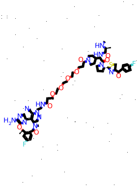 CN[C@@H](C)C(=O)N[C@H](C(=O)N1CCC[C@H]1C1=NC(C(=O)c2ccc(F)cc2)CS1)C1CCN(C(=O)CCOCCOCCOCCOCCC(=O)NCCN2N=CC3C(=C2C#N)c2cnc(N)c(n2)O[C@H](C)c2cc(F)ccc2C(=O)N3C)CC1